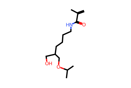 C=C(C)C(=O)NCCCCC(CO)COC(C)C